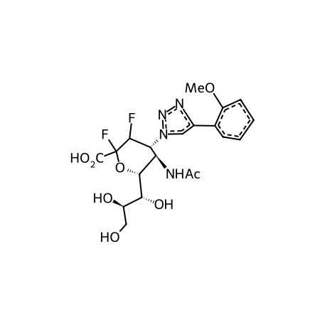 COc1ccccc1-c1cn([C@H]2C(F)C(F)(C(=O)O)O[C@@H]([C@H](O)[C@H](O)CO)[C@@H]2NC(C)=O)nn1